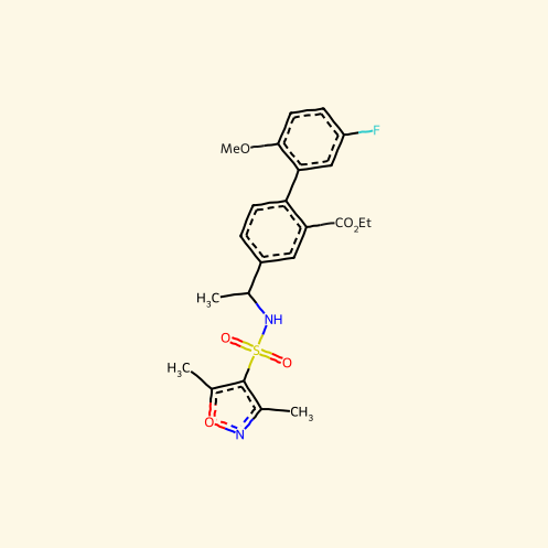 CCOC(=O)c1cc(C(C)NS(=O)(=O)c2c(C)noc2C)ccc1-c1cc(F)ccc1OC